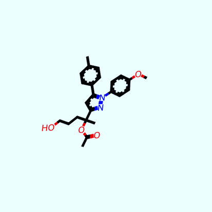 COc1ccc(-n2nc(C(C)(CCCO)OC(C)=O)cc2-c2ccc(C)cc2)cc1